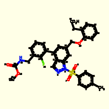 Cc1ccc(S(=O)(=O)n2ncc3c(-c4cccc(CNC(=O)OC(C)(C)C)c4F)cc(COc4ccccc4CC(=O)O)cc32)cc1